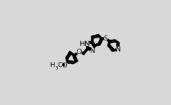 COc1ccc(OCc2nc3cc(Sc4ccncc4)ccc3[nH]2)cc1